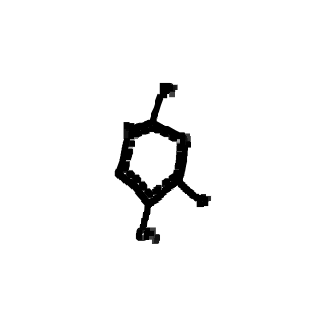 Cc1cnc(C(C)C)nc1Br